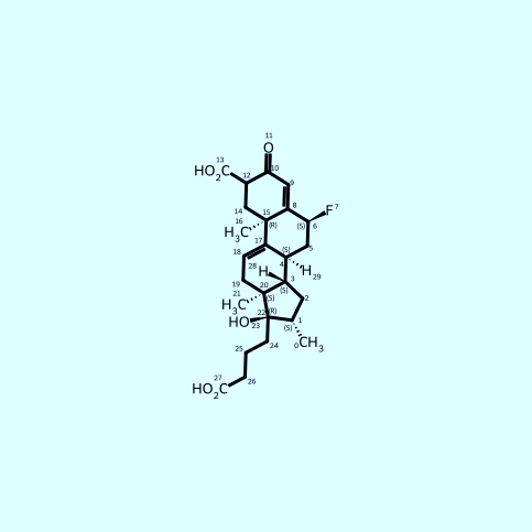 C[C@H]1C[C@H]2[C@@H]3C[C@H](F)C4=CC(=O)C(C(=O)O)C[C@]4(C)C3=CC[C@]2(C)[C@@]1(O)CCCC(=O)O